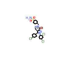 NS(=O)(=O)c1ccc(CNC(=O)c2nn(-c3ccc(Cl)cc3Cl)c(-c3ccc(Cl)cc3)c2CC(=O)O)cc1